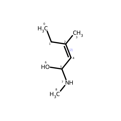 CC/C(C)=C\C(O)NC